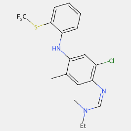 CCN(C)/C=N\c1cc(C)c(Nc2ccccc2SC(F)(F)F)cc1Cl